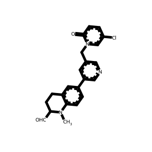 CN1c2ccc(-c3cncc(Cn4cc(Cl)ccc4=O)c3)cc2CCC1C=O